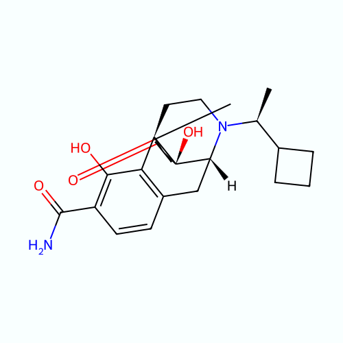 C[C@@H](C1CCC1)N1CC[C@]23CC(=O)CC[C@@]2(O)[C@H]1Cc1ccc(C(N)=O)c(O)c13